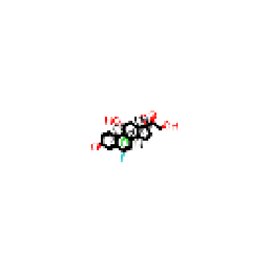 C[C@]12C=CC(=O)C=C1C(F)=C[C@H]1[C@@H]3CC[C@](O)(C(=O)CO)[C@@]3(C)C[C@H](O)[C@@]12Cl